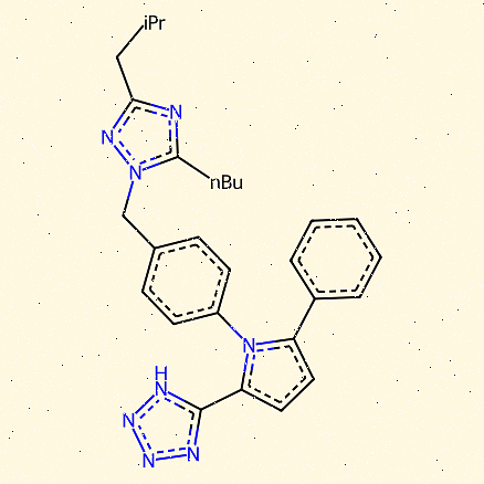 CCCCc1nc(CC(C)C)nn1Cc1ccc(-n2c(-c3ccccc3)ccc2-c2nnn[nH]2)cc1